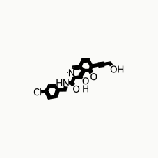 O=C1C2=C(O)C(C(=O)NCc3ccc(Cl)cc3)[N]C=C2C=CC1C#CCO